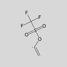 C=[C]OS(=O)(=O)C(F)(F)F